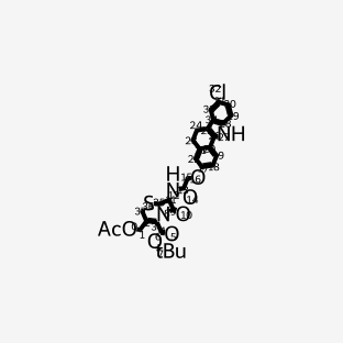 CC(=O)OCC1=C(C(=O)OC(C)(C)C)N2C(=O)C(NC(=O)COc3ccc4c(c3)CCc3c-4[nH]c4ccc(Cl)cc34)C2SC1